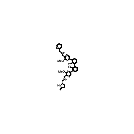 C=C1CC[C@@H](CNCc2ncc(-c3cccc(-c4cccc(-c5cnc(CNCc6ccccn6)c(OC)n5)c4Cl)c3Cl)nc2OC)N1